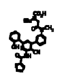 CN(C(=O)CN(C(=O)O)C(C)(C)C)c1cccc(-c2cc(-c3ccccc3O)nc(NC(=O)c3cccs3)c2C#N)c1